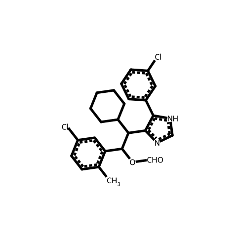 Cc1ccc(Cl)cc1C(OC=O)C(c1nc[nH]c1-c1cccc(Cl)c1)C1CCCCC1